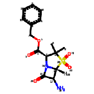 CC1(C)[C@H](C(=O)OCc2ccccc2)N2C(=O)C(N)[C@H]2S1(=O)=O